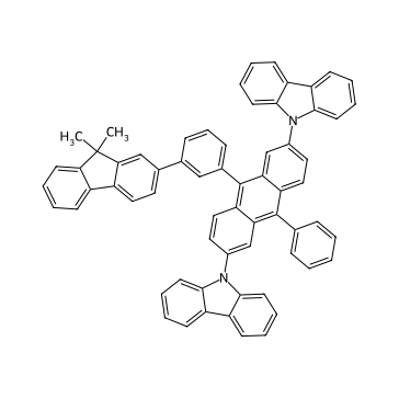 CC1(C)c2ccccc2-c2ccc(-c3cccc(-c4c5ccc(-n6c7ccccc7c7ccccc76)cc5c(-c5ccccc5)c5ccc(-n6c7ccccc7c7ccccc76)cc45)c3)cc21